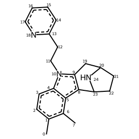 Cc1ccc2c(c1C)c1c(n2CCc2ccccn2)CC2CCC1N2